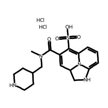 CN(CC1CCNCC1)C(=O)C1=CC2CNC3=CC=CC(=C1S(=O)(=O)O)N32.Cl.Cl